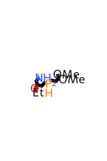 CCOC(CN)CCPCCC(OC)OC